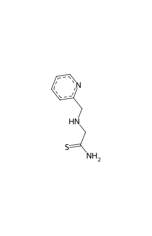 NC(=S)CNCc1ccccn1